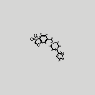 O=S1(=O)COc2cc(CN3CCN(c4nncs4)CC3)ccc21